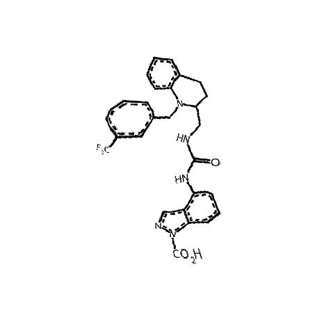 O=C(NCC1CCc2ccccc2N1Cc1cccc(C(F)(F)F)c1)Nc1cccc2c1cnn2C(=O)O